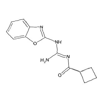 N/C(=N\C(=O)C1CCC1)Nc1nc2ccccc2o1